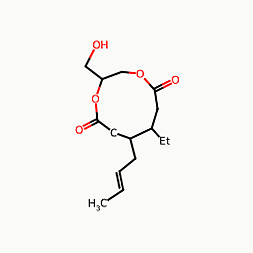 CC=CCC1CC(=O)OC(CO)COC(=O)CC1CC